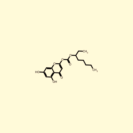 CCCCCC(CC)OC(=O)Oc1cc(=O)c2c(O)cc(O)cc2o1